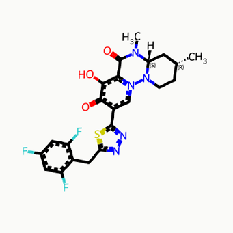 C[C@@H]1CCN2[C@@H](C1)N(C)C(=O)c1c(O)c(=O)c(-c3nnc(Cc4c(F)cc(F)cc4F)s3)cn12